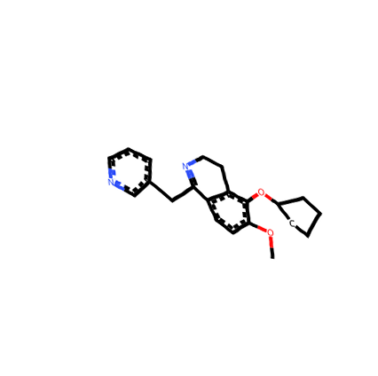 COc1ccc2c(c1OC1CCCC1)CCN=C2Cc1cccnc1